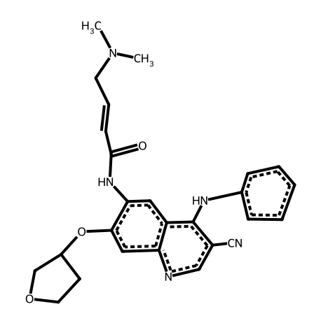 CN(C)CC=CC(=O)Nc1cc2c(Nc3ccccc3)c(C#N)cnc2cc1OC1CCOC1